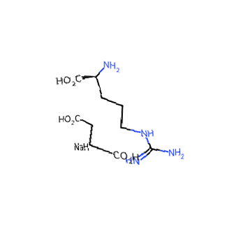 N=C(N)NCCC[C@H](N)C(=O)O.O=C(O)CCC(=O)O.[NaH]